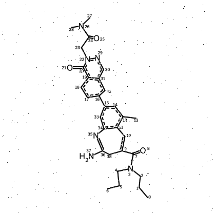 CCCN(CCC)C(=O)C1=Cc2c(C)cc(-c3ccc4c(=O)n(CC(=O)N(C)C)ncc4c3)cc2N=C(N)C1